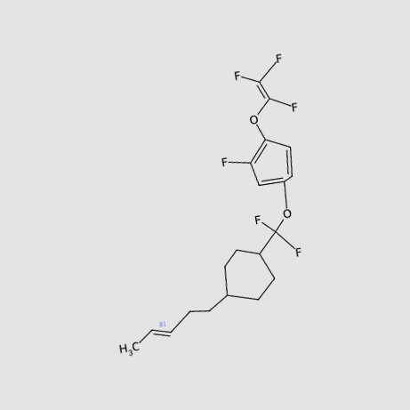 C/C=C/CCC1CCC(C(F)(F)Oc2ccc(OC(F)=C(F)F)c(F)c2)CC1